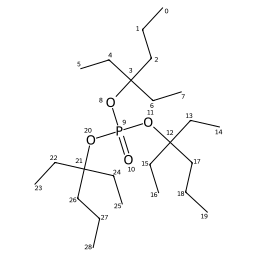 CCCC(CC)(CC)OP(=O)(OC(CC)(CC)CCC)OC(CC)(CC)CCC